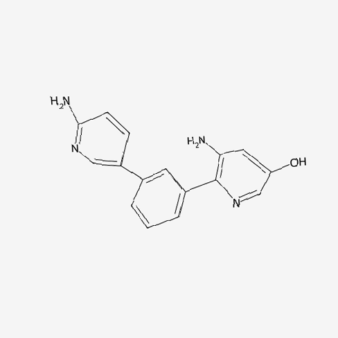 Nc1ccc(-c2cccc(-c3ncc(O)cc3N)c2)cn1